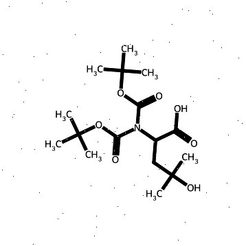 CC(C)(O)CC(C(=O)O)N(C(=O)OC(C)(C)C)C(=O)OC(C)(C)C